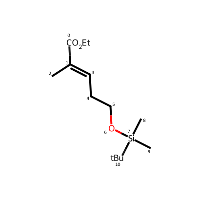 CCOC(=O)C(C)=CCCO[Si](C)(C)C(C)(C)C